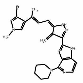 C=c1c(-c2nc3c(N4CCCCC4)nccc3[nH]2)n[nH]/c1=C/C=C(\C)c1cn(C)nc1CC